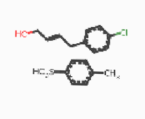 Cc1ccc(S(=O)(=O)O)cc1.OCC=CCc1ccc(Cl)cc1